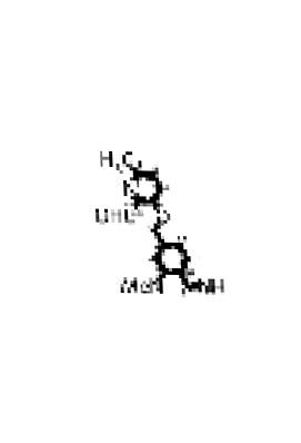 CNc1cc(COc2ccc(C)nc2C=O)ccc1C=N